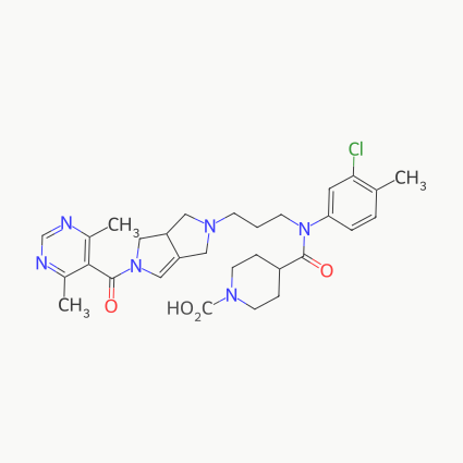 Cc1ccc(N(CCCN2CC3=CN(C(=O)c4c(C)ncnc4C)CC3C2)C(=O)C2CCN(C(=O)O)CC2)cc1Cl